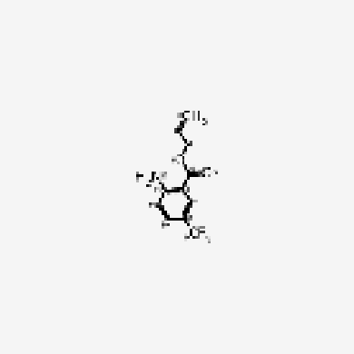 C=CCOC(=O)c1cc(C(F)(F)F)ccc1N